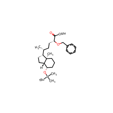 COC(=O)[C@@H](CC[C@@H](C)[C@H]1CC[C@H]2[C@@H](O[Si](C)(C)C(C)(C)C)CCC[C@]12C)OCc1ccccc1